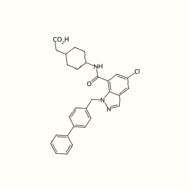 O=C(O)CC1CCC(NC(=O)c2cc(Cl)cc3cnn(Cc4ccc(-c5ccccc5)cc4)c23)CC1